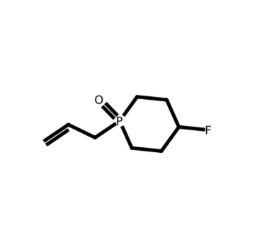 C=CCP1(=O)CCC(F)CC1